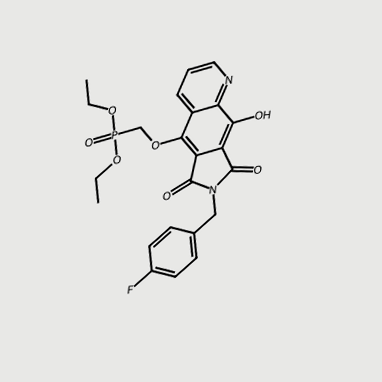 CCOP(=O)(COc1c2c(c(O)c3ncccc13)C(=O)N(Cc1ccc(F)cc1)C2=O)OCC